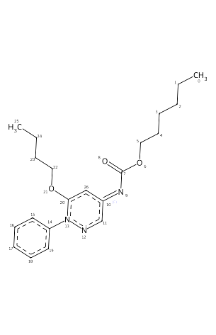 CCCCCCOC(=O)/N=c1/cnn(-c2ccccc2)c(OCCCC)c1